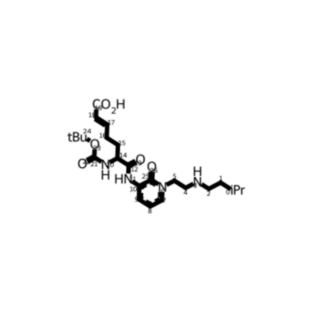 CC(C)CCNCCn1cccc(NC(=O)C(CCC=CC(=O)O)NC(=O)OC(C)(C)C)c1=O